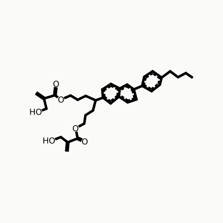 C=C(CO)C(=O)OCCCC(CCCOC(=O)C(=C)CO)c1ccc2cc(-c3ccc(CCCC)cc3)ccc2c1